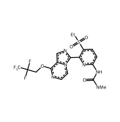 CCS(=O)(=O)c1ccc(NC(=O)NC)nc1-c1ncc2c(OCC(F)(F)C(F)(F)F)nccn12